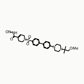 COCC(C)(C)N1CCN(c2ccc(-c3ccc(S(=O)(=O)N4CC=C(C(=O)NN=O)CC4)cc3)cc2)CC1